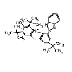 CC(C)(C)c1cc(Cc2cc(C(C)(C)C)c(O)c(C(C)(C)C)c2)c(O)c(-n2nc3ccccc3n2)c1